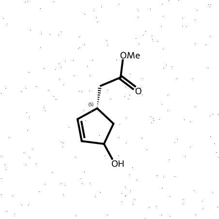 COC(=O)C[C@H]1C=CC(O)C1